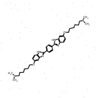 CN(C)CCCCCCOc1ccc2[nH]c(-c3ccc(-c4nc5ccc(OCCCCCCN(C)C)cc5[nH]4)cc3)nc2c1